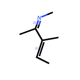 C/C=C(C)/C(C)=N\C